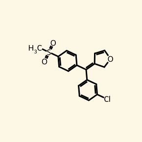 CS(=O)(=O)c1ccc(C(=C2C=COC2)c2cccc(Cl)c2)cc1